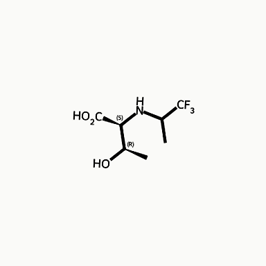 CC(N[C@H](C(=O)O)[C@@H](C)O)C(F)(F)F